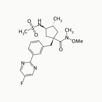 CON(C)C(=O)[C@@]1(Cc2cccc(-c3ncc(F)cn3)c2)C[C@@H](C)[C@H](NS(C)(=O)=O)C1